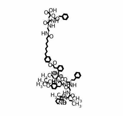 CC(=O)[C@]1(C(=O)N[C@@H](CC(C)C)C(=O)NCC(=O)N[C@@H](CCc2ccccc2)C(=O)N[C@@H](Cc2ccc(OC(C)(C)C)cc2)C(=O)N[C@@H](CC(C)C)C(=O)Nc2ccccc2CC(=O)Oc2ccc(CCCCCCCC(=O)NCCNC(=O)[C@H](CCC(=O)O)NC(=O)OCc3ccccc3)cc2)CCCN1